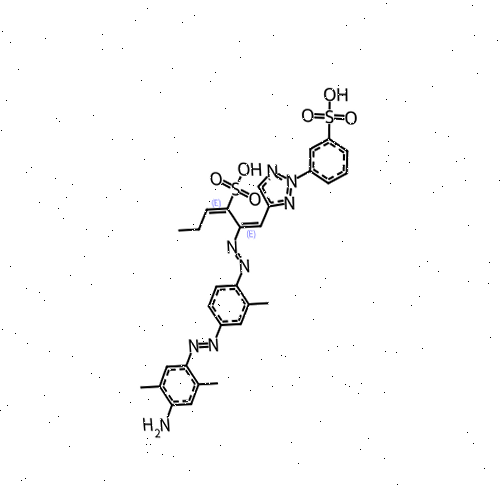 CC/C=C(\C(=C/c1cnn(-c2cccc(S(=O)(=O)O)c2)n1)N=Nc1ccc(N=Nc2cc(C)c(N)cc2C)cc1C)S(=O)(=O)O